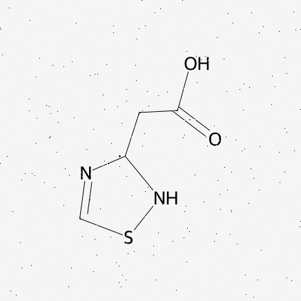 O=C(O)C[C]1N=CSN1